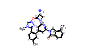 Cn1cnnc1-c1ccc(C#N)cc1-c1cc(N2Cc3c(cccc3C(F)(F)F)C2=O)nc(N2C[C@@H](N)C2=O)c1